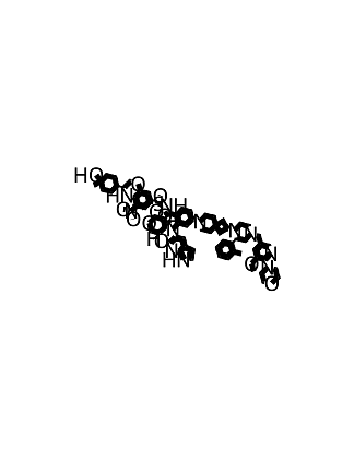 COc1cc(CN2CCN(C3CC4(CCN(c5ccc(C(=O)NS(=O)(=O)c6cc7c(c([N+](=O)[O-])c6)N[C@@H](C6CCC(C)(O)CC6)CO7)c(N6c7cc8cc[nH]c8nc7O[C@H]7COCC[C@@H]76)c5)CC4)C3)[C@H](c3ccccc3C)C2)cnc1N1CCOCC1